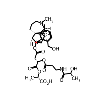 C[C@H](O)C(=O)NCCC(=O)O[C@@H](CC(=O)OC1=CC[C@@]2(O)[C@H]3Cc4ccc(CO)c5c4[C@@]2(CCCN3C)[C@H]1O5)C(=O)O[C@@H](C)C(=O)O